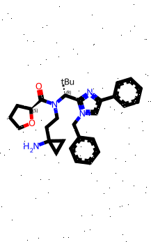 CC(C)(C)[C@H](c1nc(-c2ccccc2)cn1Cc1ccccc1)N(CCC1(N)CC1)C(=O)[C@@H]1CCCO1